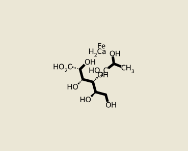 CC(O)C(=O)O.O=C(O)[C@H](O)[C@@H](O)[C@H](O)[C@H](O)CO.[CaH2].[Fe]